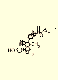 Cc1c(F)c(N(C)C2CCC(O)CC2)c2[nH]ncc2c1-c1ccn2nc(NC(=O)[C@@H]3C[C@@H]3F)cc2c1